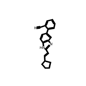 N#Cc1ccccc1-c1ccc2[nH]c(C=CC3CCCC3)nc2c1